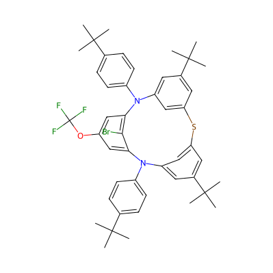 CC(C)(C)c1ccc(N2c3cc(cc(C(C)(C)C)c3)Sc3cc(cc(C(C)(C)C)c3)N(c3ccc(C(C)(C)C)cc3)c3cc(OC(F)(F)F)cc2c3Br)cc1